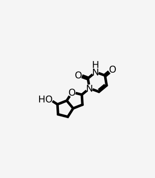 O=c1ccn(C2CC3CCC(O)C3O2)c(=O)[nH]1